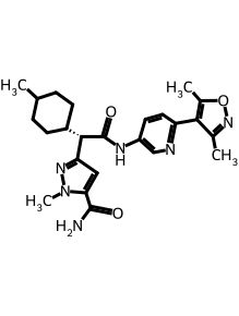 Cc1noc(C)c1-c1ccc(NC(=O)[C@H](c2cc(C(N)=O)n(C)n2)C2CCC(C)CC2)cn1